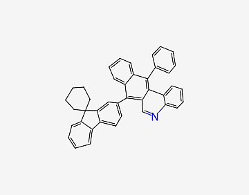 c1ccc(-c2c3ccccc3c(-c3ccc4c(c3)C3(CCCCC3)c3ccccc3-4)c3cnc4ccccc4c23)cc1